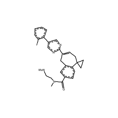 CNCCN(C)C(=O)c1ccc2c(c1)CC(c1ncc(-c3ccccc3F)cn1)=CCC21CC1